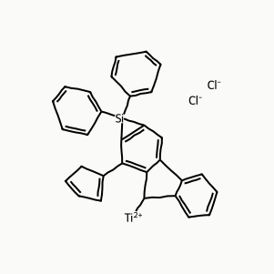 [Cl-].[Cl-].[Ti+2][CH]1c2ccccc2-c2cc3c(c(C4=CC=CC4)c21)[Si]3(c1ccccc1)c1ccccc1